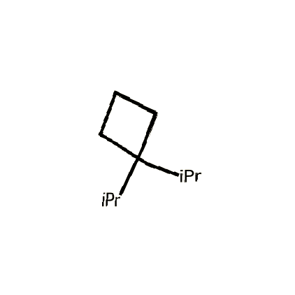 CC(C)C1(C(C)C)CCC1